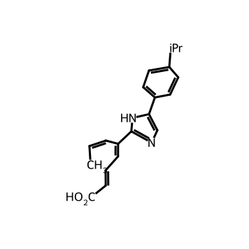 C\C=C/C(=C\C=C\C(=O)O)c1ncc(-c2ccc(C(C)C)cc2)[nH]1